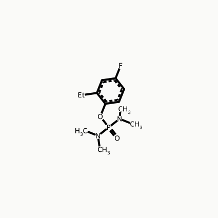 CCc1cc(F)ccc1OP(=O)(N(C)C)N(C)C